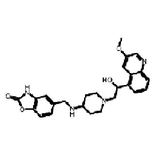 COc1cnc2cccc(C(O)CN3CCC(NCc4ccc5oc(=O)[nH]c5c4)CC3)c2c1